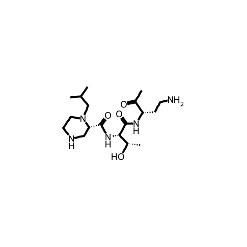 CC(=O)[C@H](CCN)NC(=O)[C@@H](NC(=O)[C@@H]1CNCCN1CC(C)C)[C@H](C)O